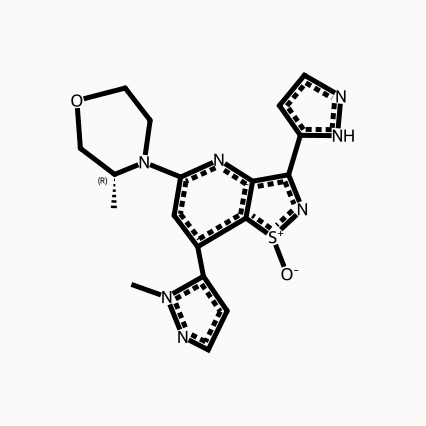 C[C@@H]1COCCN1c1cc(-c2ccnn2C)c2c(n1)c(-c1ccn[nH]1)n[s+]2[O-]